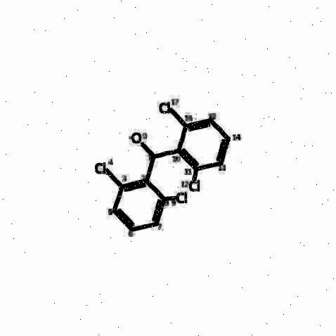 [O]C(c1c(Cl)cccc1Cl)c1c(Cl)cccc1Cl